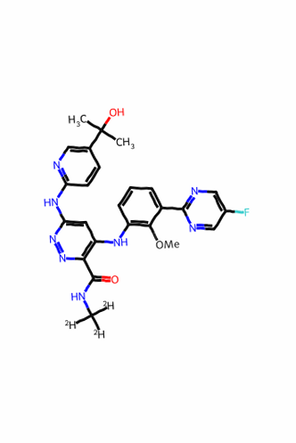 [2H]C([2H])([2H])NC(=O)c1nnc(Nc2ccc(C(C)(C)O)cn2)cc1Nc1cccc(-c2ncc(F)cn2)c1OC